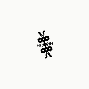 CCCN(CCC)c1c2ccccc2c(C2C(O)C(c3c4ccccc4c(N(CCC)CCC)c4cccc(O)c34)C2O)c2ccccc12